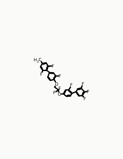 Cc1cc(F)c(-c2ccc(OCC(F)(F)Oc3ccc(-c4cc(F)c(F)c(F)c4)c(F)c3)c(F)c2)c(F)c1